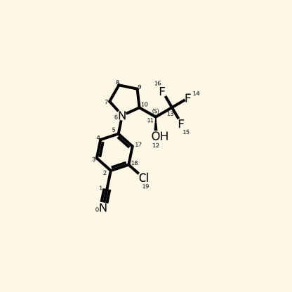 N#Cc1ccc(N2CCCC2[C@H](O)C(F)(F)F)cc1Cl